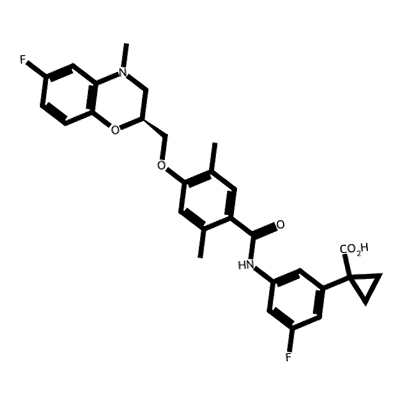 Cc1cc(C(=O)Nc2cc(F)cc(C3(C(=O)O)CC3)c2)c(C)cc1OC[C@@H]1CN(C)c2cc(F)ccc2O1